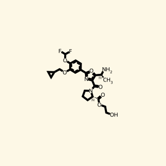 C[C@H](N)c1oc(-c2ccc(OC(F)F)c(OCC3CC3)c2)nc1C(=O)N1CCC[C@H]1C(=O)OCCO